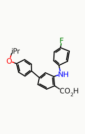 CC(C)Oc1ccc(-c2ccc(C(=O)O)c(Nc3ccc(F)cc3)c2)cc1